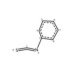 S=C=Nc1c[c]ccc1